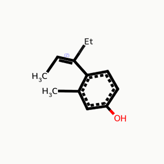 C/C=C(/CC)c1ccc(O)cc1C